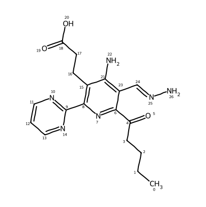 CCCCC(=O)c1nc(-c2ncccn2)c(CCC(=O)O)c(N)c1C=NN